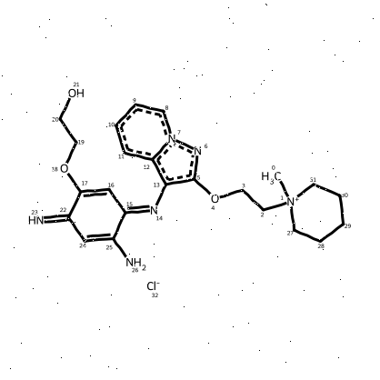 C[N+]1(CCOc2nn3ccccc3c2N=C2C=C(OCCO)C(=N)C=C2N)CCCCC1.[Cl-]